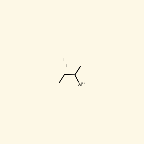 CC[CH](C)[Al+2].[I-].[I-]